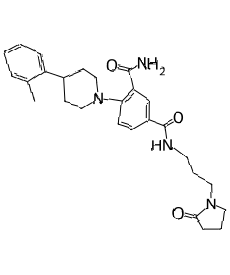 Cc1ccccc1C1CCN(c2ccc(C(=O)NCCCN3CCCC3=O)cc2C(N)=O)CC1